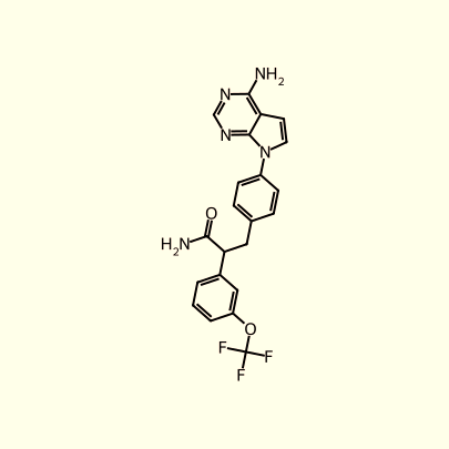 NC(=O)C(Cc1ccc(-n2ccc3c(N)ncnc32)cc1)c1cccc(OC(F)(F)F)c1